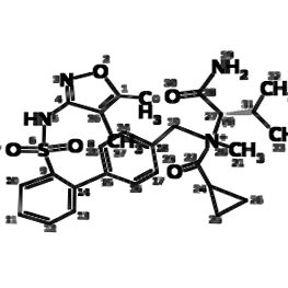 Cc1onc(NS(=O)(=O)c2ccccc2-c2ccc(C[N+](C)(C(=O)C3CC3)[C@H](C(N)=O)C(C)C)cc2)c1C